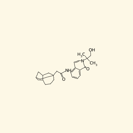 CC(C)(CO)n1ccc2c(NC(=O)CC34CCCC5CC(CC5C3)C4)cccc2c1=O